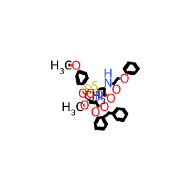 COC(C)=C(C(=O)OC(c1ccccc1)c1ccccc1)N1C(=O)C(NC(=O)COc2ccccc2)C1SS(=O)(=O)c1ccc(OC)cc1